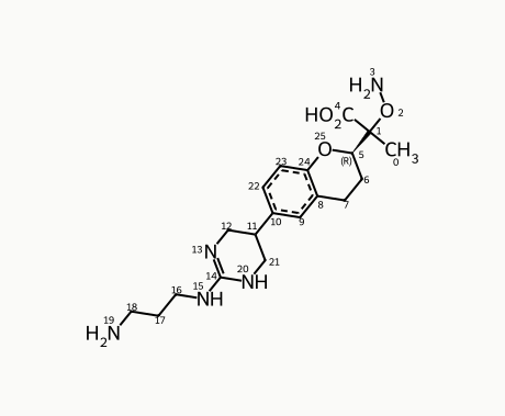 CC(ON)(C(=O)O)[C@H]1CCc2cc(C3CN=C(NCCCN)NC3)ccc2O1